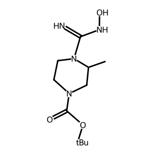 CC1CN(C(=O)OC(C)(C)C)CCN1C(=N)NO